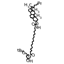 CC(C)CCC[C@@H](C)[C@H]1CCC2C3CC=C4C[C@@H](OC(=O)NCCCCCCCCCCCCCCCC(=O)N5C[C@H](O)C[C@H]5COC(C)(C)C)CC[C@]4(C)C3CC[C@@]21C